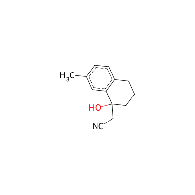 Cc1ccc2c(c1)C(O)(CC#N)CCC2